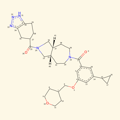 O=C(c1cc(OCC2CCOCC2)cc(C2CC2)c1)N1CC[C@@H]2CN(C(=O)C3CCc4[nH]nnc4C3)C[C@@H]2CC1